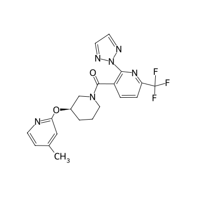 Cc1ccnc(O[C@@H]2CCCN(C(=O)c3ccc(C(F)(F)F)nc3-n3nccn3)C2)c1